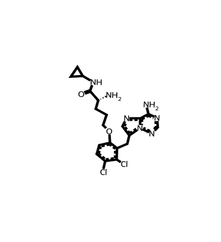 Nc1ncnn2c(Cc3c(OCCC[C@@H](N)C(=O)NC4CC4)ccc(Cl)c3Cl)cnc12